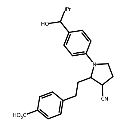 CC(C)C(O)c1ccc(N2CCC(C#N)C2CCc2ccc(C(=O)O)cc2)cc1